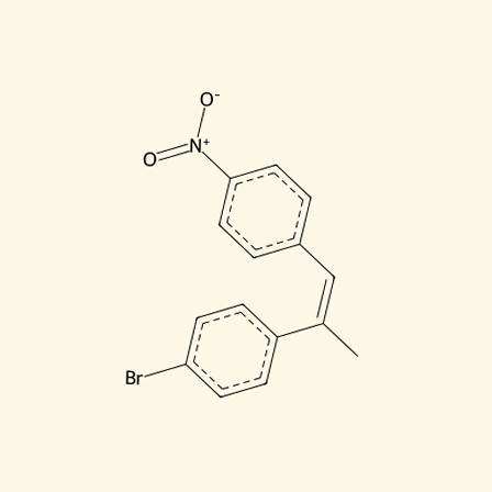 CC(=Cc1ccc([N+](=O)[O-])cc1)c1ccc(Br)cc1